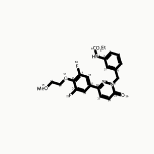 CCOC(=O)Nc1cccc(Cn2nc(-c3cc(F)c(OCCOC)c(F)c3)ccc2=O)c1